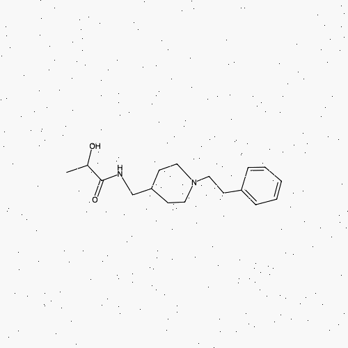 CC(O)C(=O)NCC1CCN(CCc2ccccc2)CC1